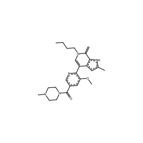 C=C1c2[nH]c(C)cc2C(c2ncc(C(=O)N3CCN(C)CC3)cc2OC)=CN1CCCC